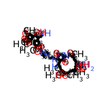 COc1ccc(/C(C=N)=C(/O)c2cc(OC)c(OC)c(OC)c2)cc1OC(=O)N1CCN(CCNC2=C3C[C@@H](C)C[C@H](OC)C(O)[C@@H](C)/C=C(\C)C(OC(N)=O)C(O)/C=C\C(C)C(=O)NC(=CC2=O)C3=O)CC1